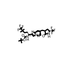 CC(C)(C)OC(=O)N[C@@H](CCC(C)(C)C(F)(F)F)c1cn2ncc(CC3C[C@@H](C(F)(F)F)NC3=O)cc2n1